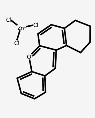 [Cl][Zn-]([Cl])[Cl].c1ccc2[o+]c3ccc4c(c3cc2c1)CCCC4